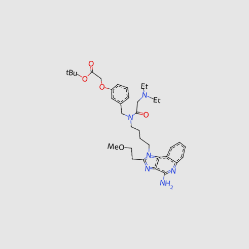 CCN(CC)CC(=O)N(CCCCn1c(CCOC)nc2c(N)nc3ccccc3c21)Cc1cccc(OCC(=O)OC(C)(C)C)c1